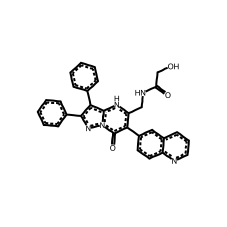 O=C(CO)NCc1[nH]c2c(-c3ccccc3)c(-c3ccccc3)nn2c(=O)c1-c1ccc2ncccc2c1